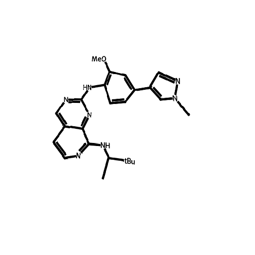 COc1cc(-c2cnn(C)c2)ccc1Nc1ncc2ccnc(NC(C)C(C)(C)C)c2n1